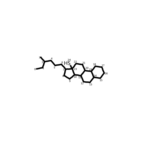 CCC(C)CCCC1CCC2C3CCC4CCCCC4C3CCC12S